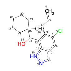 C=CCc1c(Cl)cc2cn[nH]c2c1C(O)C1(C)CCCCC1